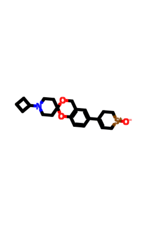 [O-][S+]1CC=C(c2ccc3c(c2)COC2(CCN(C4CCC4)CC2)O3)CC1